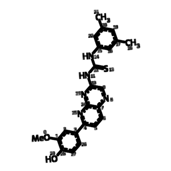 COc1cc(-c2ccc3ncc(NC(=S)Nc4cc(C)cc(C)c4)nc3n2)ccc1O